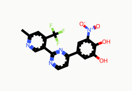 Cc1cc(C(F)(F)F)c(-c2nccc(-c3cc(O)c(O)c([N+](=O)[O-])c3)n2)cn1